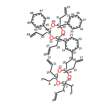 C=CC[Si]1(CC)O[Si](CC)(CC=C)O[Si](CC=C)(CCc2cccc([Si]3(CC=C)O[Si](CC=C)(c4ccccc4)O[Si](CC=C)(c4ccccc4)O3)c2)O1